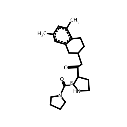 Cc1cc(C)c2c(c1)CC(CC(=O)C1CCN[C@H]1C(=O)N1CCCC1)CC2